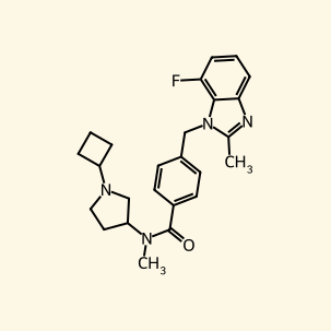 Cc1nc2cccc(F)c2n1Cc1ccc(C(=O)N(C)C2CCN(C3CCC3)C2)cc1